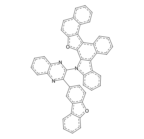 c1ccc2c(c1)ccc1oc3c(c4ccccc4c4c5ccccc5n(-c5nc6ccccc6nc5-c5ccc6oc7ccccc7c6c5)c34)c12